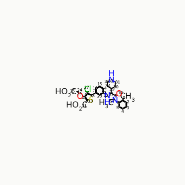 Cc1ccccc1N(C)C(=O)C(Nc1cccc(-c2sc(C(=O)O)c(OCC(=O)O)c2Cl)c1)C1CCNCC1